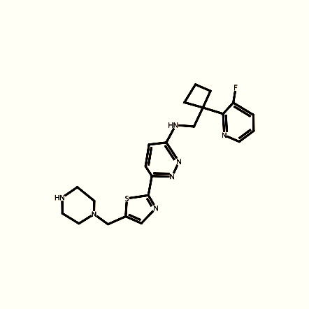 Fc1cccnc1C1(CNc2ccc(-c3ncc(CN4CCNCC4)s3)nn2)CCC1